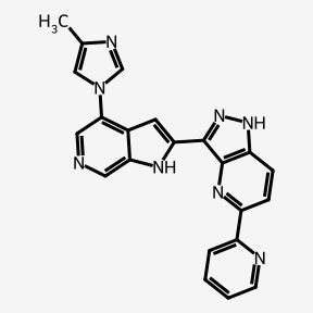 Cc1cn(-c2cncc3[nH]c(-c4n[nH]c5ccc(-c6ccccn6)nc45)cc23)cn1